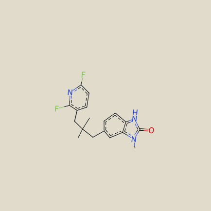 Cn1c(=O)[nH]c2ccc(CC(C)(C)Cc3ccc(F)nc3F)cc21